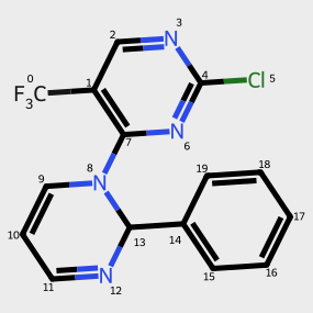 FC(F)(F)c1cnc(Cl)nc1N1C=CC=NC1c1ccccc1